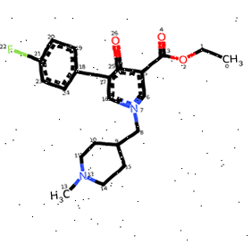 CCOC(=O)c1cn(CC2CCN(C)CC2)cc(-c2ccc(F)cc2)c1=O